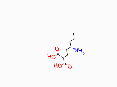 CCCC(N)CCC(C(=O)O)C(=O)O